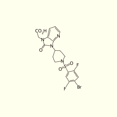 O=C(O)Cn1c(=O)n(C2CCN(S(=O)(=O)c3cc(F)c(Br)cc3F)CC2)c2ncccc21